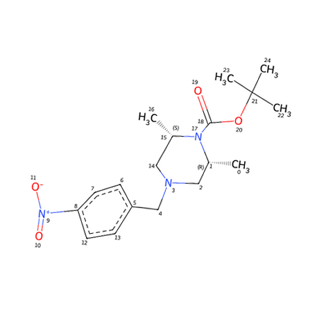 C[C@@H]1CN(Cc2ccc([N+](=O)[O-])cc2)C[C@H](C)N1C(=O)OC(C)(C)C